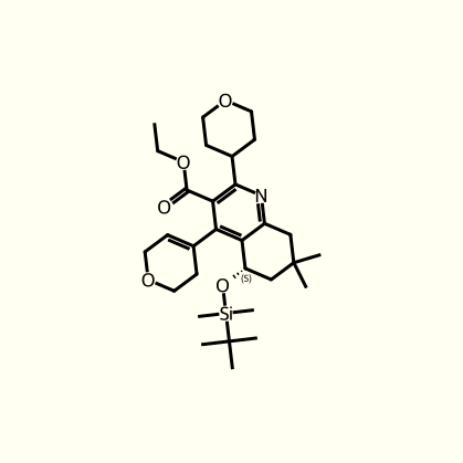 CCOC(=O)c1c(C2CCOCC2)nc2c(c1C1=CCOCC1)[C@@H](O[Si](C)(C)C(C)(C)C)CC(C)(C)C2